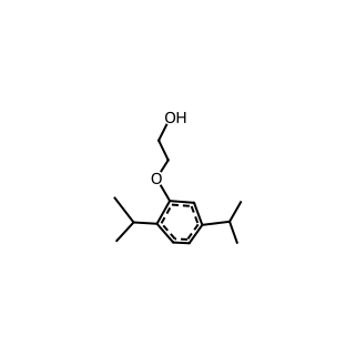 CC(C)c1ccc(C(C)C)c(OCCO)c1